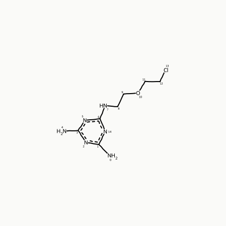 Nc1nc(N)nc(NCCOCCCl)n1